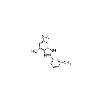 Nc1cccc(-c2nc3c(O)cc([N+](=O)[O-])cc3[nH]2)c1